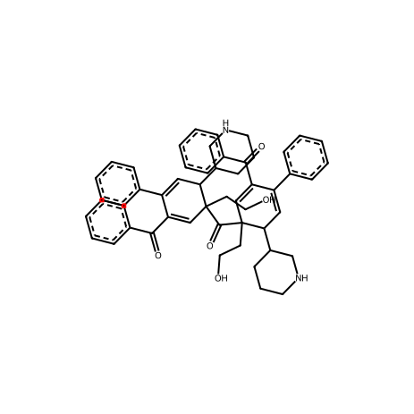 O=C(C1=CC(CCO)(C(=O)C2(CCO)C=C(C(=O)c3ccccc3)C(c3ccccc3)=CC2C2CCCNC2)C(C2CCCNC2)C=C1c1ccccc1)c1ccccc1